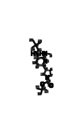 CNc1nc(C2CCN(C(=O)OC(C)(C)C)C2)ccc1NCC(C)(C)C